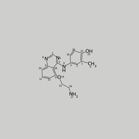 Cc1cc(Nc2ncnc3cccc(OCCN)c23)ccc1O